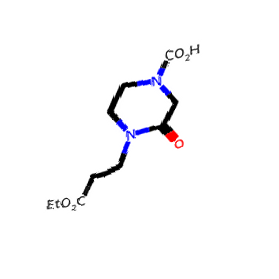 CCOC(=O)CCN1CCN(C(=O)O)CC1=O